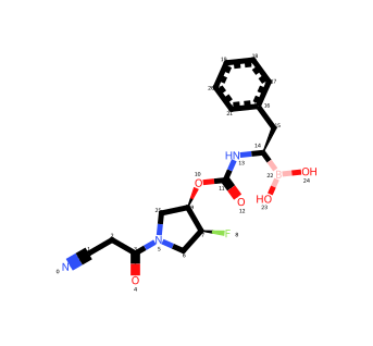 N#CCC(=O)N1C[C@H](F)[C@H](OC(=O)N[C@@H](Cc2ccccc2)B(O)O)C1